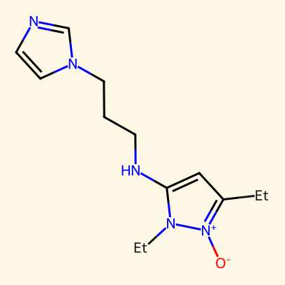 CCc1cc(NCCCn2ccnc2)n(CC)[n+]1[O-]